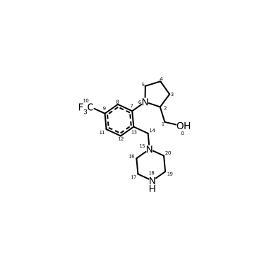 OCC1CCCN1c1cc(C(F)(F)F)ccc1CN1CCNCC1